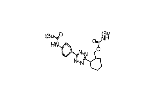 CC(C)(C)NC(=O)OCC1CCCCC1c1nnc(-c2ccc(NC(=O)C(C)(C)C)cc2)nn1